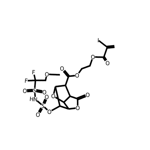 C=C(I)C(=O)OCCOC(=O)C1C2OC3C(OC(=O)C31)C2OS(=O)(=O)NS(=O)(=O)C(F)(F)COC